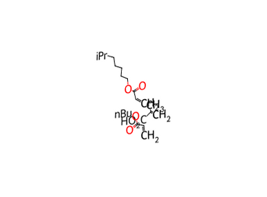 C=C(C)C(=O)O.C=CC(=O)OCCCC.C=CC(=O)OCCCCCC(C)C